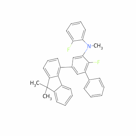 CN(c1ccccc1F)c1cc(-c2cccc3c2-c2ccccc2C3(C)C)cc(-c2ccccc2)c1F